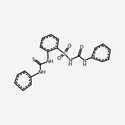 O=C(Nc1ccccc1)NS(=O)(=O)c1ccccc1NC(=S)Nc1ccccc1